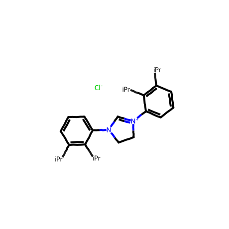 CC(C)c1cccc(N2C=[N+](c3cccc(C(C)C)c3C(C)C)CC2)c1C(C)C.[Cl-]